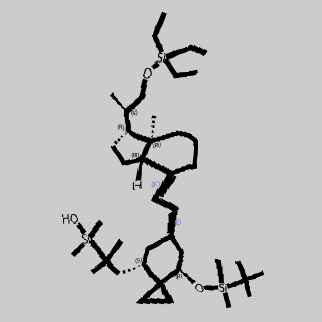 CC[Si](CC)(CC)OC[C@H](C)[C@H]1CC[C@H]2/C(=C/C=C3\C[C@@H](CC(C)(C)[Si](C)(C)O)C4(CC4)[C@H](O[Si](C)(C)C(C)(C)C)C3)CCC[C@]12C